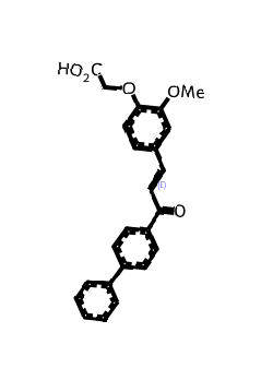 COc1cc(/C=C/C(=O)c2ccc(-c3ccccc3)cc2)ccc1OCC(=O)O